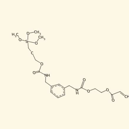 C=CC(=O)OCCOC(=O)NCc1cccc(CNC(=O)OCCC[Si](OC)(OC)OC)c1